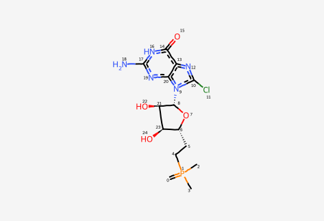 C=P(C)(C)CC[C@H]1O[C@@H](n2c(Cl)nc3c(=O)[nH]c(N)nc32)[C@H](O)[C@@H]1O